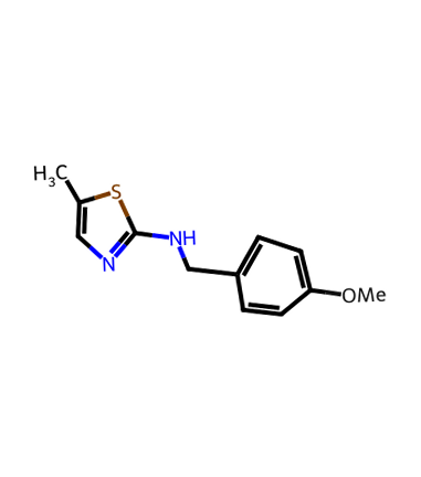 COc1ccc(CNc2ncc(C)s2)cc1